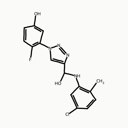 Cc1ccc(Cl)cc1NC(O)c1cn(-c2cc(O)ccc2F)nn1